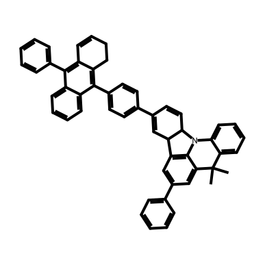 CC1(C)c2ccccc2N2c3c(cc(-c4ccccc4)cc31)C1C=C(c3ccc(-c4c5c(c(-c6ccccc6)c6ccccc46)C=CCC5)cc3)C=CC12